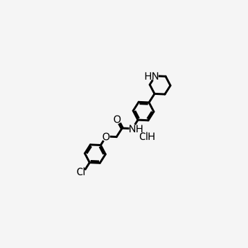 Cl.O=C(COc1ccc(Cl)cc1)Nc1ccc(C2CCCNC2)cc1